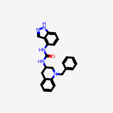 O=C(Nc1cccc2[nH]ncc12)NC1Cc2ccccc2N(Cc2ccccc2)C1